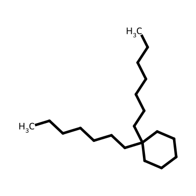 CCCCCCCC1(CCCCCCC)CCCCC1